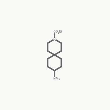 CCOC(=O)N1CCC2(CCC(NC)CC2)CC1